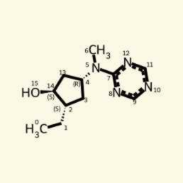 CC[C@H]1C[C@@H](N(C)c2ncncn2)C[C@@H]1O